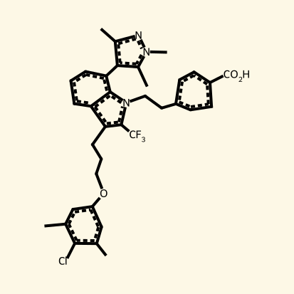 Cc1cc(OCCCc2c(C(F)(F)F)n(CCc3ccc(C(=O)O)cc3)c3c(-c4c(C)nn(C)c4C)cccc23)cc(C)c1Cl